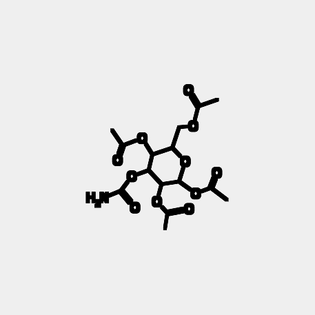 CC(=O)OCC1OC(OC(C)=O)C(OC(C)=O)C(OC(N)=O)C1OC(C)=O